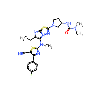 CCc1nc2sc(N3CCC(NC(=O)N(C)C)C3)nn2c1N(C)c1nc(-c2ccc(F)cc2)c(C#N)s1